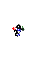 CC(O)C(c1cccnc1)n1nc(C(F)(F)F)c2ccccc21